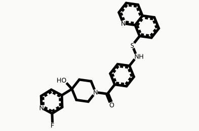 O=C(c1ccc(NSc2cccc3cccnc23)cc1)N1CCC(O)(c2ccnc(F)c2)CC1